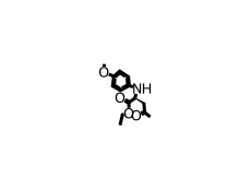 CCOC(=O)[C@H](CC(C)=O)Nc1ccc(OC)cc1